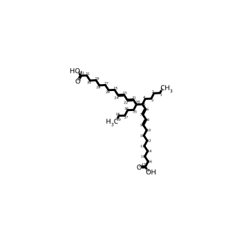 CCCCCC(C=CC=CCCCCCCCC(=O)O)C(C=CC=CCCCCCCCC(=O)O)CCCCC